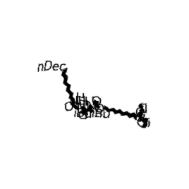 CCCCCCCCCCCCCCCCCCNC(=O)C(NC(=O)C(NC(=O)OCCCCCCCCCC[Si](C)(O[Si](C)(C)C)O[Si](C)(C)C)C(C)CC)C(C)CC